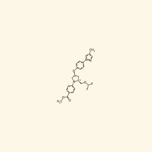 COC(=O)c1ccc(N2C[C@@H](Oc3ccc(-n4cc(C)cn4)cc3)C[C@H]2COC(F)F)cc1